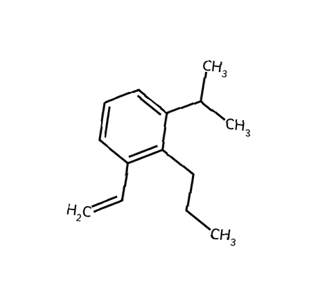 C=Cc1cccc(C(C)C)c1CCC